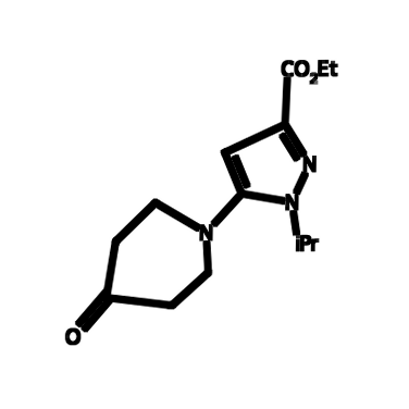 CCOC(=O)c1cc(N2CCC(=O)CC2)n(C(C)C)n1